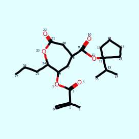 C=C(C)C(=O)OC1CC(C(=O)OC2(C(C)C)CCCC2)CC(=O)OC1CCC